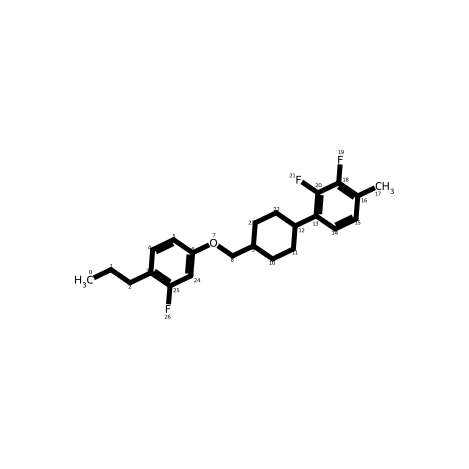 CCCc1ccc(OCC2CCC(c3ccc(C)c(F)c3F)CC2)cc1F